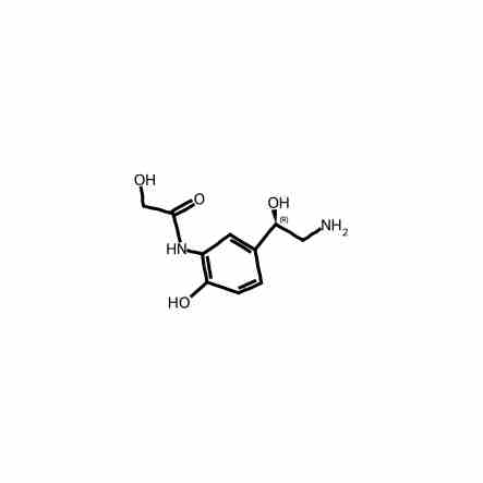 NC[C@H](O)c1ccc(O)c(NC(=O)CO)c1